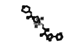 O=C(NCC[C@@H]1[C@H]2CN(C(=O)CC3CCOCC3)C[C@@H]12)c1cc(-c2cccnc2)on1